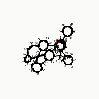 CC1(C)c2ccccc2-c2cc3c(cc21)-c1ccccc1C31c2ccccc2C=Cc2ccc(-c3nc(-c4ccccc4)cc(-c4ccccc4)n3)cc21